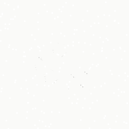 CC=C(N=C(N)N)c1ccc2ccnc(-c3ccc(CC)cc3C)c2c1